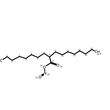 CCCCCCCCC(CCCCCCCC)C(=O)ON=O